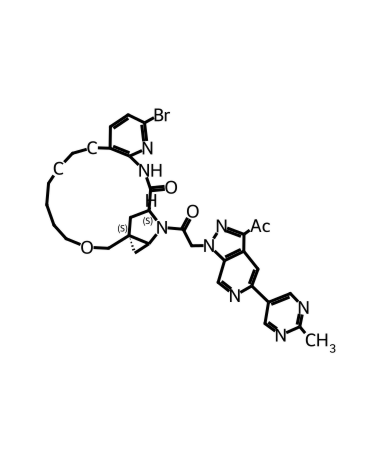 CC(=O)c1nn(CC(=O)N2C3C[C@@]34COCCCCCCCc3ccc(Br)nc3NC(=O)[C@@H]2C4)c2cnc(-c3cnc(C)nc3)cc12